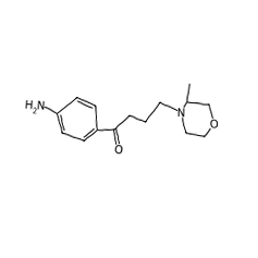 CC1COCCN1CCCC(=O)c1ccc(N)cc1